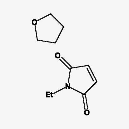 C1CCOC1.CCN1C(=O)C=CC1=O